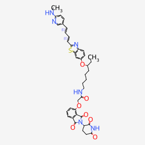 CCC(CCCCCNC(=O)COc1cccc2c1C(=O)N(C1CCC(=O)NC1=O)C2=O)Oc1ccc2nc(/C=C/C=C/c3ccc(NC)nc3)sc2c1